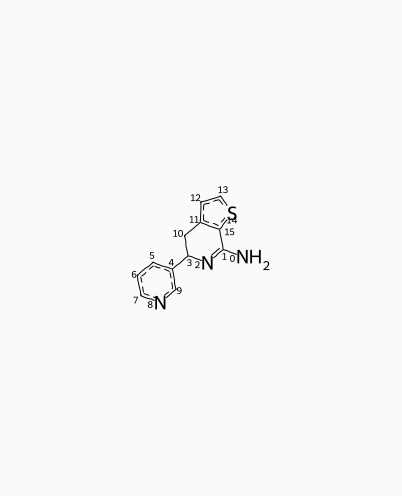 NC1=NC(c2cccnc2)Cc2ccsc21